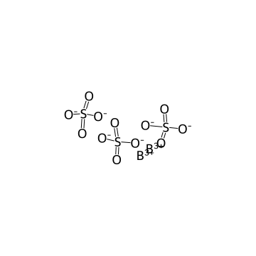 O=S(=O)([O-])[O-].O=S(=O)([O-])[O-].O=S(=O)([O-])[O-].[B+3].[B+3]